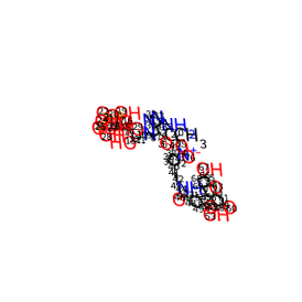 CC(C)C[C@H](OCc1cn([C@H]2C[C@@H](O)[C@@H](COP(=O)(O)OP(=O)(O)OP(=O)(O)O)O2)c2ncnc(N)c12)c1ccc(C#CCNC(=O)c2ccc(C(=O)O)c(-c3c4ccc(=O)cc-4oc4cc(O)ccc34)c2)cc1[N+](=O)[O-]